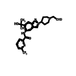 CC(C)(O)c1cc2nn(C3CCN(CC=O)CC3)cc2cc1NC(=O)c1cccc(C(F)(F)F)n1